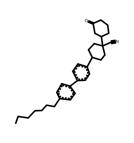 CCCCCCCc1ccc(-c2ccc(C3CCC(C#N)(C4CCCC(=O)C4)CC3)cc2)cc1